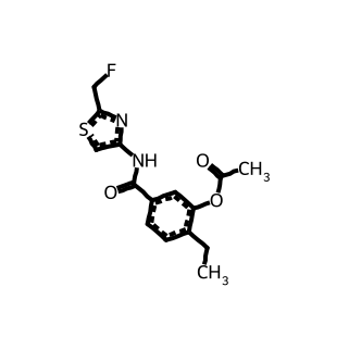 CCc1ccc(C(=O)Nc2csc(CF)n2)cc1OC(C)=O